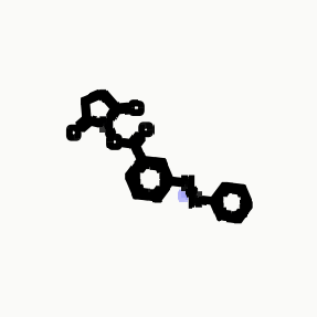 O=C(ON1C(=O)CCC1=O)c1cccc(/N=N/c2ccccc2)c1